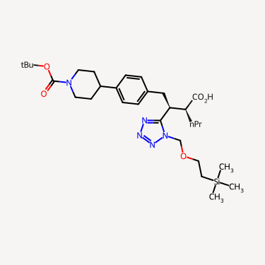 CCC[C@H](C(=O)O)[C@H](Cc1ccc(C2CCN(C(=O)OC(C)(C)C)CC2)cc1)c1nnnn1COCC[Si](C)(C)C